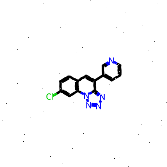 Clc1ccc2cc(-c3cccnc3)c3nnnn3c2c1